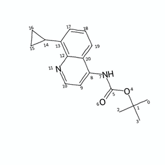 CC(C)(C)OC(=O)Nc1ccnc2c(C3CC3)cccc12